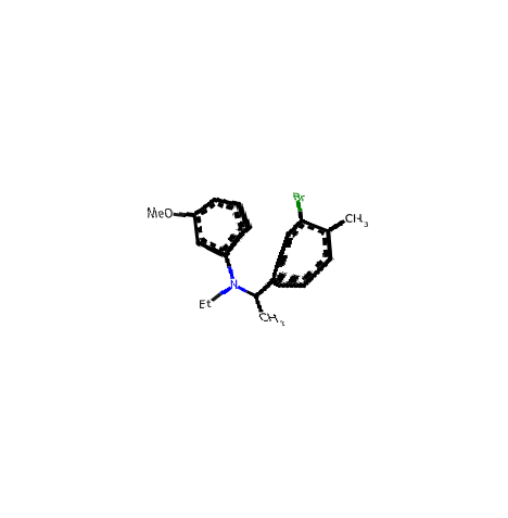 CCN(c1cccc(OC)c1)C(C)c1ccc(C)c(Br)c1